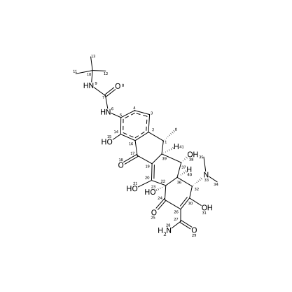 C[C@H]1c2ccc(NC(=O)NC(C)(C)C)c(O)c2C(=O)C2=C(O)[C@]3(O)C(=O)C(C(N)=O)=C(O)[C@@H](N(C)C)[C@@H]3[C@@H](O)[C@@H]21